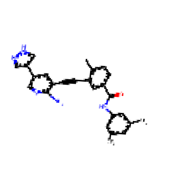 Cc1ccc(C(=O)Nc2cc(C(F)(F)F)cc(C(F)(F)F)c2)cc1C#Cc1cc(-c2cn[nH]c2)cnc1N